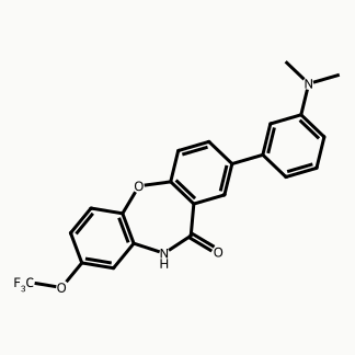 CN(C)c1cccc(-c2ccc3c(c2)C(=O)Nc2cc(OC(F)(F)F)ccc2O3)c1